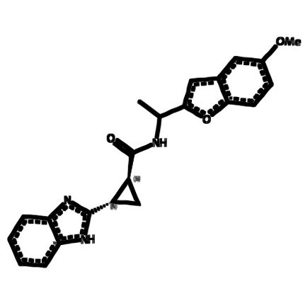 COc1ccc2oc(C(C)NC(=O)[C@H]3C[C@@H]3c3nc4ccccc4[nH]3)cc2c1